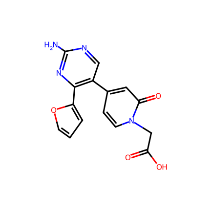 Nc1ncc(-c2ccn(CC(=O)O)c(=O)c2)c(-c2ccco2)n1